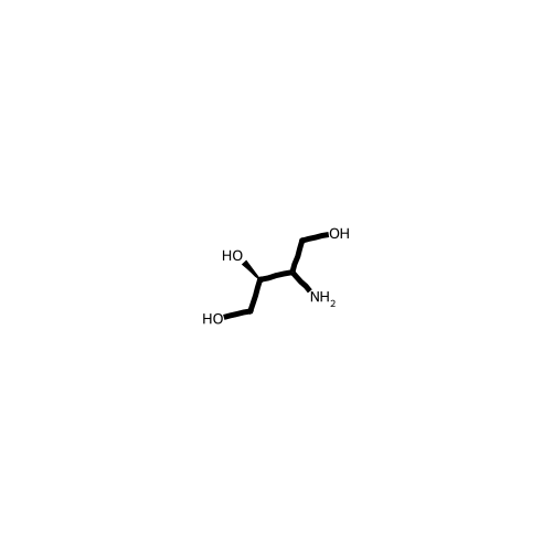 NC(CO)[C@H](O)CO